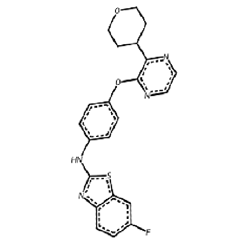 Fc1ccc2nc(Nc3ccc(Oc4nccnc4C4CCOCC4)cc3)sc2c1